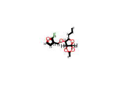 CCC[C@H]1O[C@@H]2OC(C)O[C@@H]2[C@H]1OCc1ccoc1F